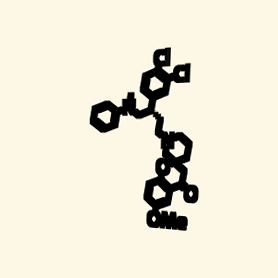 COc1ccc2c(c1)C(=O)CC1(CCCN(CC[C@H](CN(C)c3ccccc3)c3ccc(Cl)c(Cl)c3)C1)O2